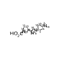 CN(C)c1ccc(-n2cnc([C@H]3CCCN(C(=O)O)C3)c2)cc1